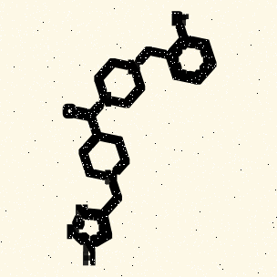 O=C(C1CCN(Cc2c[nH]nn2)CC1)N1CCN(Cc2ccccc2Br)CC1